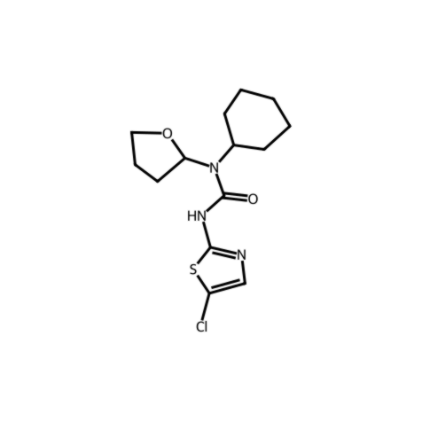 O=C(Nc1ncc(Cl)s1)N(C1CCCCC1)C1CCCO1